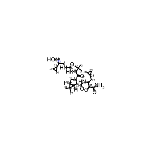 CC(C)(C)[C@H](NC(=O)NC/C(=N/O)C1CC1)C(=O)N1C[C@H]2[C@@H]([C@H]1C(=O)NC(CC1CC1)C(=O)C(N)=O)C2(C)C